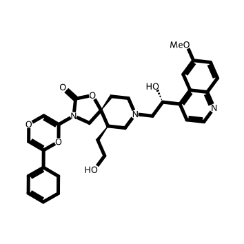 COc1ccc2nccc([C@@H](O)CN3CC[C@]4(CN(C5=COC=C(C6=CC=CCC6)O5)C(=O)O4)[C@H](CCO)C3)c2c1